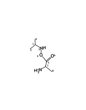 CC(C)NOC(=O)C(C)N